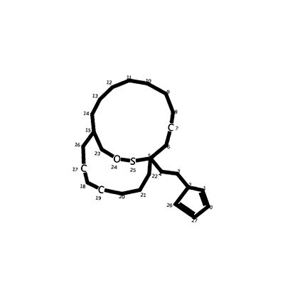 C1=CC(CCC23CCCCCCCCCC(CCCCCCC2)COS3)C=C1